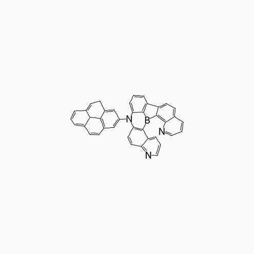 C1=CC2=CCc3cc(N4c5cccc6c5B(c5c4ccc4ncccc54)c4c-6ccc5cccnc45)cc4c3C2C(=C1)C=C4